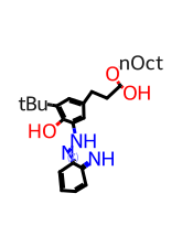 CCCCCCCCOC(O)CCc1cc(N/N=C2/C=CC=CC2=N)c(O)c(C(C)(C)C)c1